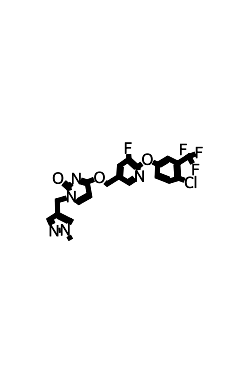 Cn1cc(Cn2ccc(OCc3cnc(Oc4ccc(Cl)c(C(F)(F)F)c4)c(F)c3)nc2=O)cn1